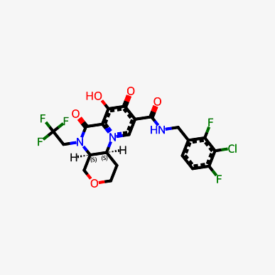 O=C(NCc1ccc(F)c(Cl)c1F)c1cn2c(c(O)c1=O)C(=O)N(CC(F)(F)F)[C@@H]1COCC[C@@H]12